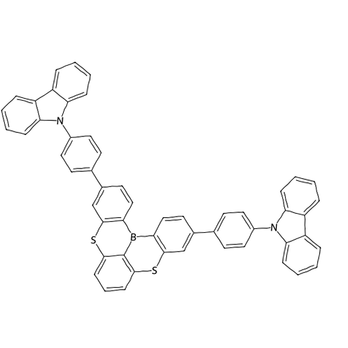 c1cc2c3c(c1)Sc1cc(-c4ccc(-n5c6ccccc6c6ccccc65)cc4)ccc1B3c1ccc(-c3ccc(-n4c5ccccc5c5ccccc54)cc3)cc1S2